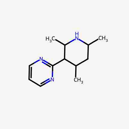 CC1CC(C)C(c2ncccn2)C(C)N1